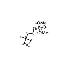 COP(=O)(OC)OCCC1(C)COC1